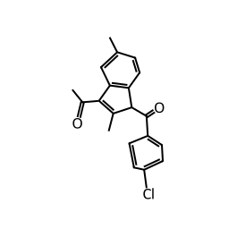 CC(=O)C1=C(C)C(C(=O)c2ccc(Cl)cc2)c2ccc(C)cc21